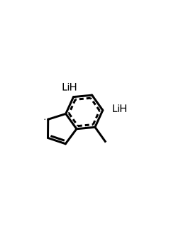 Cc1cccc2c1C=C[CH]2.[LiH].[LiH]